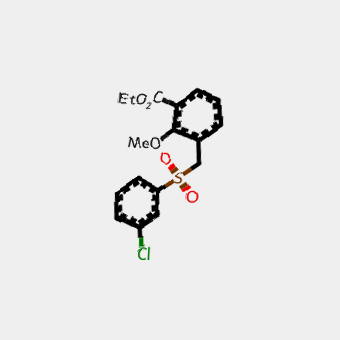 CCOC(=O)c1cccc(CS(=O)(=O)c2cccc(Cl)c2)c1OC